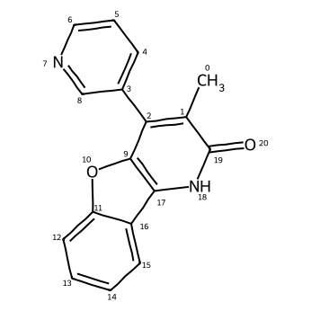 Cc1c(-c2cccnc2)c2oc3ccccc3c2[nH]c1=O